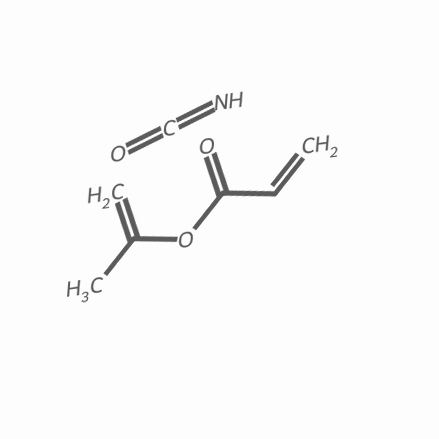 C=CC(=O)OC(=C)C.N=C=O